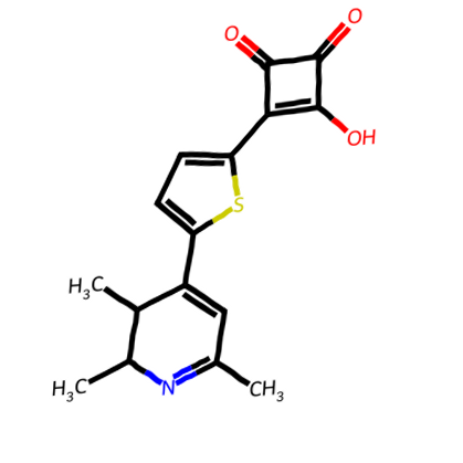 CC1=NC(C)C(C)C(c2ccc(-c3c(O)c(=O)c3=O)s2)=C1